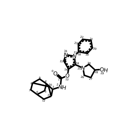 O=C(NC1C2CC3CC(C2)CC1C3)Oc1cnn(-c2ccccc2)c1N1CCC(O)C1